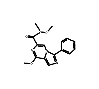 COc1nc(C(=O)N(C)OC)cn2c(-c3ccccc3)ncc12